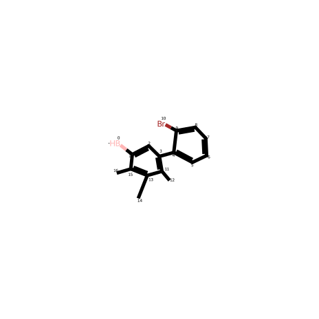 [BH]c1cc(-c2ccccc2Br)c(C)c(C)c1C